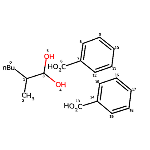 CCCCC(C)C(O)O.O=C(O)c1ccccc1.O=C(O)c1ccccc1